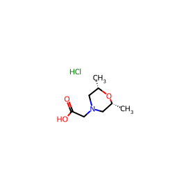 C[C@@H]1CN(CC(=O)O)C[C@H](C)O1.Cl